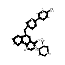 O=c1c2cc(Cc3ccc(-c4ccc(C(F)(F)F)nc4)nc3)c3ccccc3c2ncn1[C@H]1CCOC[C@@H]1O